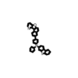 c1ccc(N(c2ccc(-c3ccc4c(ccc5oc6cccnc6c54)c3)cc2)c2ccc3c(c2)sc2ccccc23)cc1